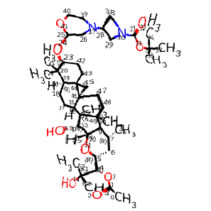 CC(=O)O[C@@H]([C@H]1C[C@@H](C)C2[C@H](O1)[C@H](O)[C@@]1(C)[C@@H]3CC[C@H]4C(C)(C)[C@@H](OC5CN(C6CN(C(=O)OC(C)(C)C)C6)CCO5)CCC45C[C@@]35CC[C@]21C)C(C)(C)O